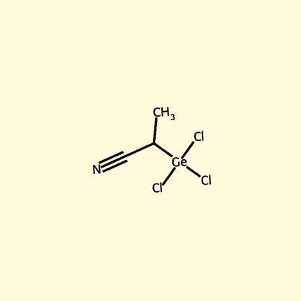 C[CH](C#N)[Ge]([Cl])([Cl])[Cl]